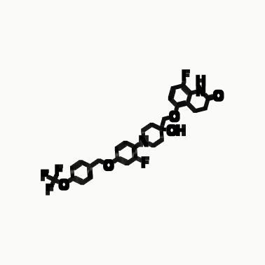 O=C1CCc2c(OCC3(O)CCN(c4ccc(OCc5ccc(OC(F)(F)F)cc5)cc4F)CC3)ccc(F)c2N1